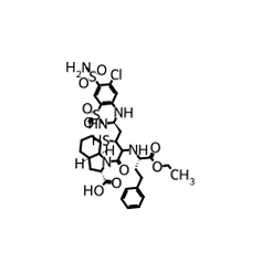 CCOC(=O)[C@H](CCc1ccccc1)NC(C(=O)N1[C@@H]2CCCC[C@@H]2C[C@H]1C(=O)O)[C@@H](S)C[C@@H]1Nc2cc(Cl)c(S(N)(=O)=O)cc2S(=O)(=O)N1